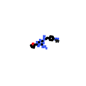 CC(C)Nc1ccc(CCNc2nc(N)n3nc(-c4ccco4)nc3n2)cc1